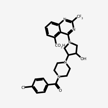 O=C(O)c1cccc2nc(C(F)(F)F)nc(N3CC(O)C(N4CCN(C(=O)c5ccc(Cl)cc5)CC4)C3)c12